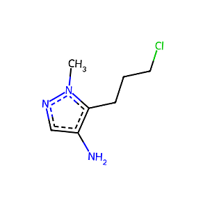 Cn1ncc(N)c1CCCCl